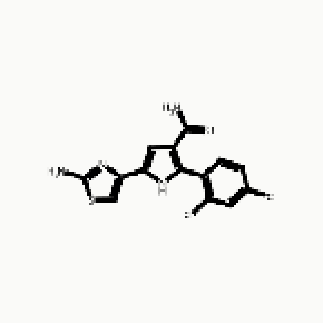 NC(=O)c1cc(-c2csc(N)n2)[nH]c1-c1ccc(Cl)cc1Cl